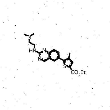 CCOC(=O)c1cc(C)c(-c2ccc3nc(NCCN(C)C)ncc3c2)s1